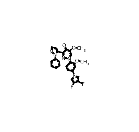 COc1cc(-n2cc(F)c(F)c2)ccc1-n1cc(OC)c(=O)c(-c2ccnn2-c2ccccc2)n1